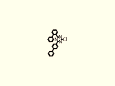 Clc1nc(-c2ccc(-c3ccccc3)cc2)nc(-c2ccccc2-c2ccccc2)n1